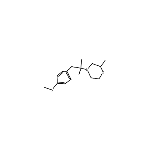 CSc1ccc(CC(C)(C)N2CCOC(C)C2)cc1